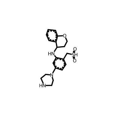 O=[SH](=O)Cc1ccc(N2CCNCC2)cc1NC1CCOc2ccccc21